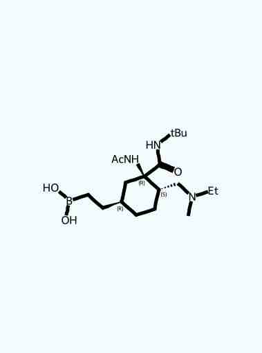 CCN(C)C[C@@H]1CC[C@@H](CCB(O)O)C[C@]1(NC(C)=O)C(=O)NC(C)(C)C